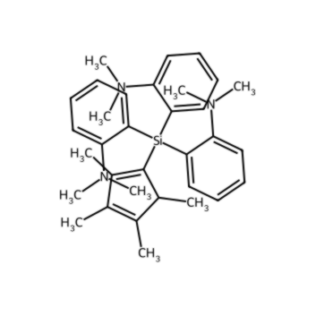 CC1=C(C)C(C)C([Si](c2ccccc2N(C)C)(c2ccccc2N(C)C)c2ccccc2N(C)C)=C1C